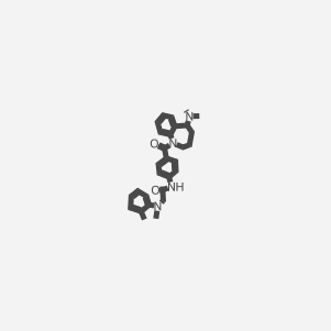 Cc1ccccc1N(C)CC(=O)Nc1ccc(C(=O)N2CCCC(N(C)C)c3ccccc32)cc1